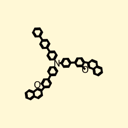 c1ccc(-c2ccc(-c3ccc(N(c4ccc(-c5ccc6c(c5)oc5c7ccccc7ccc65)cc4)c4ccc(-c5ccc6c(c5)oc5c7ccccc7ccc65)cc4)cc3)cc2)cc1